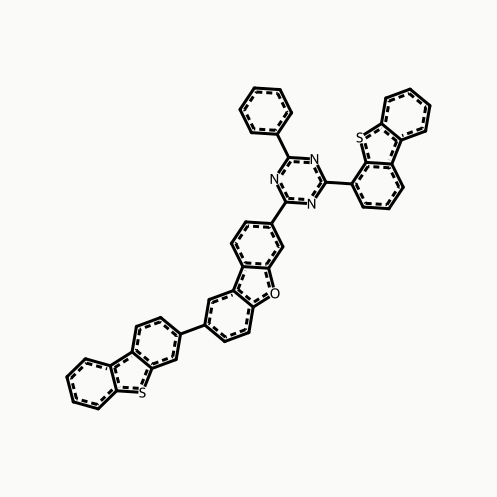 c1ccc(-c2nc(-c3ccc4c(c3)oc3ccc(-c5ccc6c(c5)sc5ccccc56)cc34)nc(-c3cccc4c3sc3ccccc34)n2)cc1